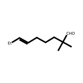 CCC=CCCCC(C)(C)C=O